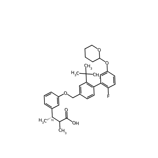 CC(C(=O)O)[C@H](C)c1cccc(OCc2ccc(-c3cc(OC4CCCCO4)ccc3F)c(C(C)(C)C)c2)c1